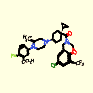 CC1CN([C@H]2CC[C@](C(=O)N3COc4c(cc(Cl)cc4C(F)(F)F)C3)(C3CC3)CC2)CCN1c1ccc(F)c(C(=O)O)c1